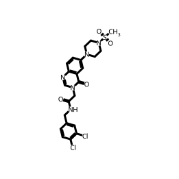 CS(=O)(=O)N1CCN(c2ccc3ncn(CC(=O)NCc4ccc(Cl)c(Cl)c4)c(=O)c3c2)CC1